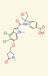 CN1CC(COc2cc3c(cc(C(=O)NC4(c5ccc(C(=O)O)cc5)CCOC4)n3C)c(Cl)c2Cl)CC1=O